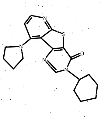 O=c1c2sc3nccc(N4CCCC4)c3c2ncn1C1CCCCC1